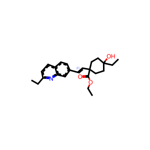 CCOC(=O)C1(/C=C/c2ccc3ccc(CC)nc3c2)CCC(O)(CC)CC1